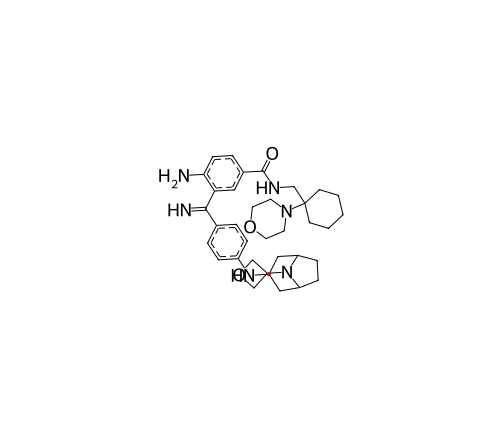 N=C(c1ccc(NC2CC3CCC(C2)N3C2COC2)cc1)c1cc(C(=O)NCC2(N3CCOCC3)CCCCC2)ccc1N